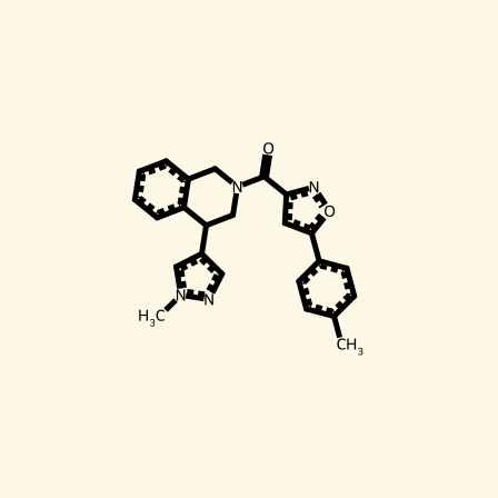 Cc1ccc(-c2cc(C(=O)N3Cc4ccccc4C(c4cnn(C)c4)C3)no2)cc1